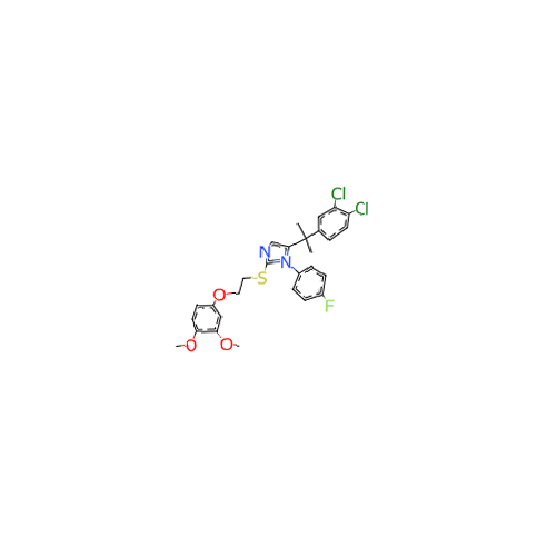 COc1ccc(OCCSc2ncc(C(C)(C)c3ccc(Cl)c(Cl)c3)n2-c2ccc(F)cc2)cc1OC